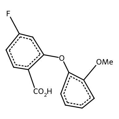 COc1ccccc1Oc1cc(F)ccc1C(=O)O